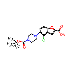 CC(C)(C)OC(=O)N1CCN(c2ccc3oc(C(=O)O)cc3c2Cl)CC1